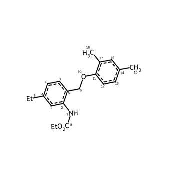 CCOC(=O)Nc1cc(CC)ccc1COc1ccc(C)cc1C